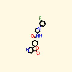 O=C1O[C@]2(CC[C@@H](C(=O)N[C@H]3CCN(c4cccc(F)c4)C3)CC2)c2cnccc21